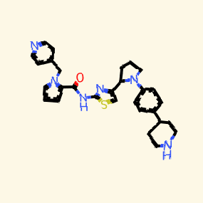 O=C(Nc1nc(C2CCCN2c2ccc(C3CCNCC3)cc2)cs1)c1cccn1Cc1ccncc1